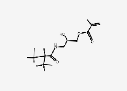 C=C(C)C(=O)OCC(O)CNC(=O)C(C)(C(C)(C)C)C(C)(C)C